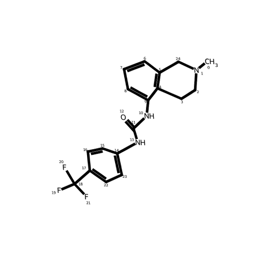 CN1CCc2c(cccc2NC(=O)Nc2ccc(C(F)(F)F)cc2)C1